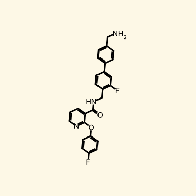 NCc1ccc(-c2ccc(CNC(=O)c3cccnc3Oc3ccc(F)cc3)c(F)c2)cc1